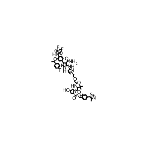 Cc1ncsc1-c1ccc(CNC(=O)[C@@H]2C[C@@H](O)CN2C(=O)C(NC(=O)COCCn2ccc(Nc3[nH]nc(-c4ccc(NS(=O)(=O)C(F)F)c(OC(C)c5ccc(F)cc5)c4)c3C(N)=O)n2)C(C)(C)C)cc1